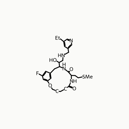 CCc1cncc(CNCC(O)C2Cc3cc(F)cc(c3)OCCCCC(=O)NC(CCSC)C(=O)N2)c1